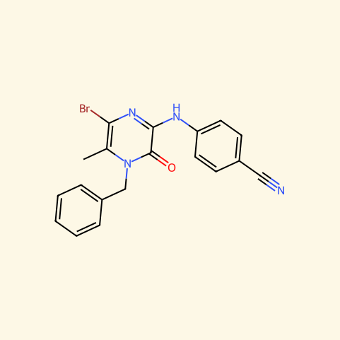 Cc1c(Br)nc(Nc2ccc(C#N)cc2)c(=O)n1Cc1ccccc1